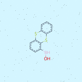 OBc1cccc2c1Sc1ccccc1S2